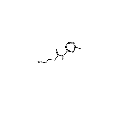 CCCCCCCCCCCC(=O)Nc1ccnc(C)c1